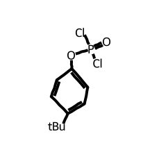 CC(C)(C)c1ccc(OP(=O)(Cl)Cl)cc1